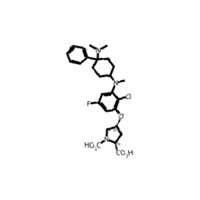 CN(c1cc(F)cc(O[C@H]2C[C@@H](C(=O)O)N(C(=O)O)C2)c1Cl)C1CCC(c2ccccc2)(N(C)C)CC1